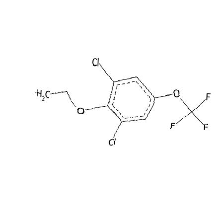 [CH2]COc1c(Cl)cc(OC(F)(F)F)cc1Cl